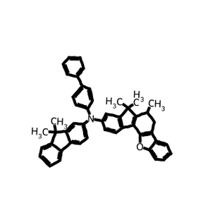 CC1Cc2c(oc3ccccc23)C2=C1C(C)(C)c1cc(N(c3ccc(-c4ccccc4)cc3)c3ccc4c(c3)C(C)(C)c3ccccc3-4)ccc12